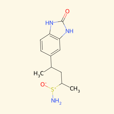 CC(CC(C)[S+](N)[O-])c1ccc2[nH]c(=O)[nH]c2c1